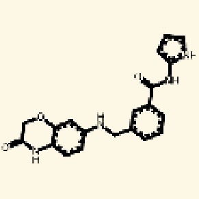 O=C1COc2cc(NCc3cccc(C(=O)Nc4ccc[nH]4)c3)ccc2N1